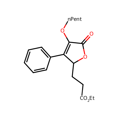 CCCCCOC1=C(c2ccccc2)C(CCC(=O)OCC)OC1=O